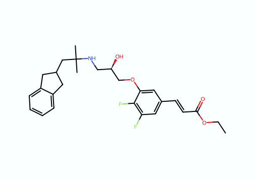 CCOC(=O)/C=C/c1cc(F)c(F)c(OC[C@H](O)CNC(C)(C)CC2Cc3ccccc3C2)c1